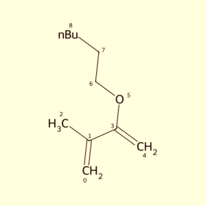 C=C(C)C(=C)OCCCCCC